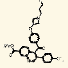 COC(=O)c1ccc2c(C(=O)c3ccc(OC4CN(CCCF)C4)cc3)c(-c3ccc(C(F)(F)F)cc3)cnc2c1